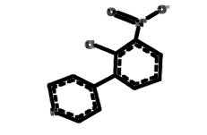 O=[N+]([O-])c1cccc(-c2ccncc2)c1Cl